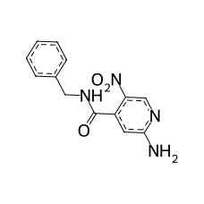 Nc1cc(C(=O)NCc2ccccc2)c([N+](=O)[O-])cn1